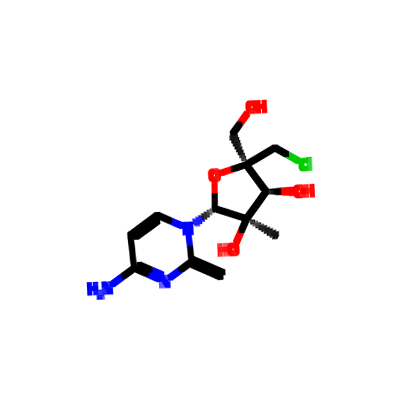 C=C1N=C(N)C=CN1[C@@H]1O[C@@](CO)(CCl)[C@@H](O)[C@@]1(C)O